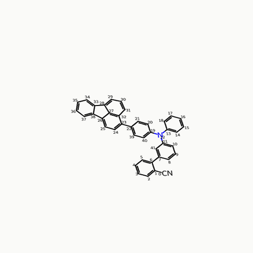 N#Cc1ccccc1-c1cccc(N(c2ccccc2)c2ccc(-c3ccc4c5c(cccc35)-c3ccccc3-4)cc2)c1